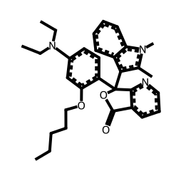 CCCCCOc1cc(N(CC)CC)ccc1C1(c2c(C)n(C)c3ccccc23)OC(=O)c2cccnc21